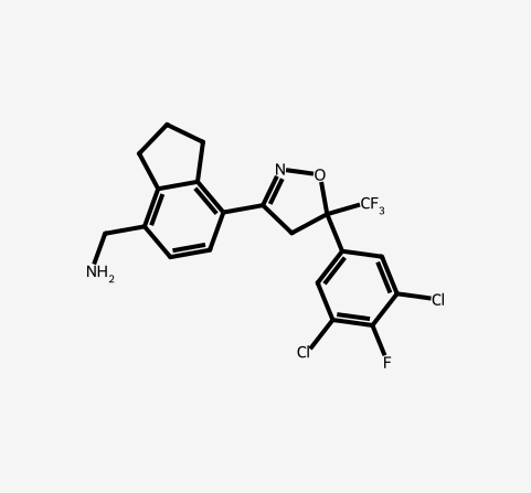 NCc1ccc(C2=NOC(c3cc(Cl)c(F)c(Cl)c3)(C(F)(F)F)C2)c2c1CCC2